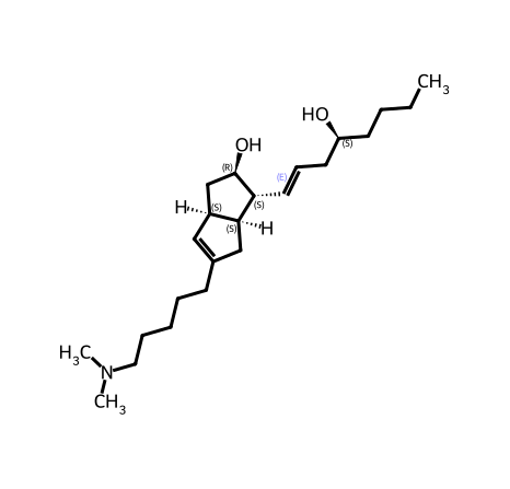 CCCC[C@H](O)C/C=C/[C@@H]1[C@H]2CC(CCCCCN(C)C)=C[C@H]2C[C@H]1O